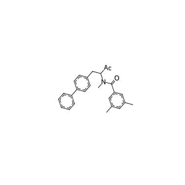 CC(=O)C(Cc1ccc(-c2ccccc2)cc1)N(C)C(=O)c1cc(C)cc(C)c1